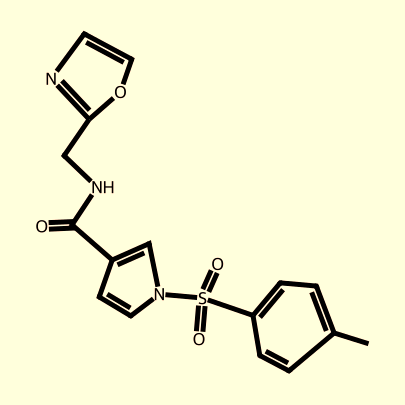 Cc1ccc(S(=O)(=O)n2ccc(C(=O)NCc3ncco3)c2)cc1